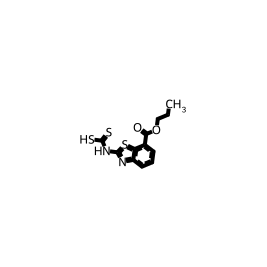 CCCOC(=O)c1cccc2nc(NC(=S)S)sc12